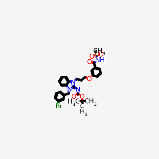 CC(C)(C)OC(=O)N=c1n(CCCOc2cccc(C(=O)NS(C)(=O)=O)c2)c2ccccc2n1Cc1cccc(Br)c1